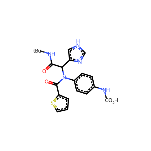 CC(C)(C)NC(=O)C(c1c[nH]cn1)N(C(=O)c1cccs1)c1ccc(NC(=O)O)cc1